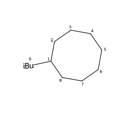 CCC(C)C1[CH]CCCCCC1